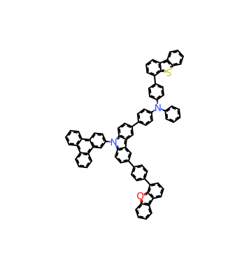 c1ccc(N(c2ccc(-c3ccc4c(c3)c3cc(-c5ccc(-c6cccc7c6oc6ccccc67)cc5)ccc3n4-c3ccc4c5ccccc5c5ccccc5c4c3)cc2)c2ccc(-c3cccc4c3sc3ccccc34)cc2)cc1